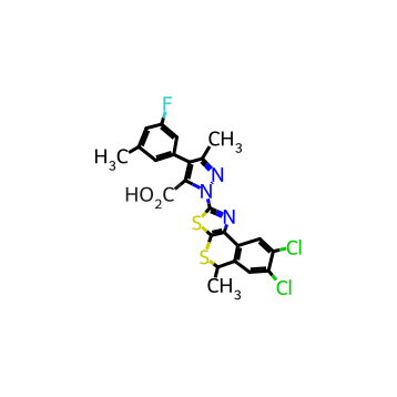 Cc1cc(F)cc(-c2c(C)nn(-c3nc4c(s3)SC(C)c3cc(Cl)c(Cl)cc3-4)c2C(=O)O)c1